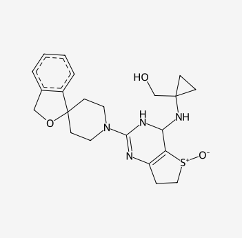 [O-][S+]1CCC2=C1C(NC1(CO)CC1)NC(N1CCC3(CC1)OCc1ccccc13)=N2